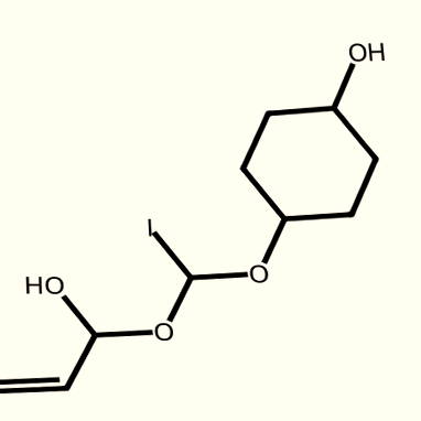 C=CC(O)OC(I)OC1CCC(O)CC1